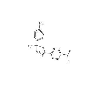 NC(CC(=O)c1ccc(C(F)F)cn1)(c1ccc(C(F)(F)F)cc1)C(F)(F)F